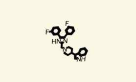 Fc1cccc(-c2nc(CN3CCC(c4c[nH]c5ccccc45)CC3)[nH]c2-c2cccc(F)c2)c1